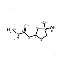 NNC(=O)CC1CCS(O)(O)C1